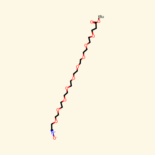 CC(C)(C)OC(=O)CCOCCOCCOCCOCCOCCOCCOCCOCCOCC#[N+][O-]